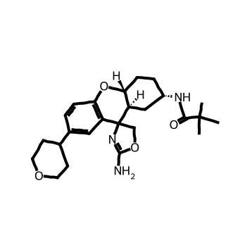 CC(C)(C)C(=O)N[C@H]1CC[C@H]2Oc3ccc(C4CCOCC4)cc3C3(COC(N)=N3)[C@@H]2C1